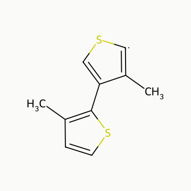 Cc1[c]scc1-c1sccc1C